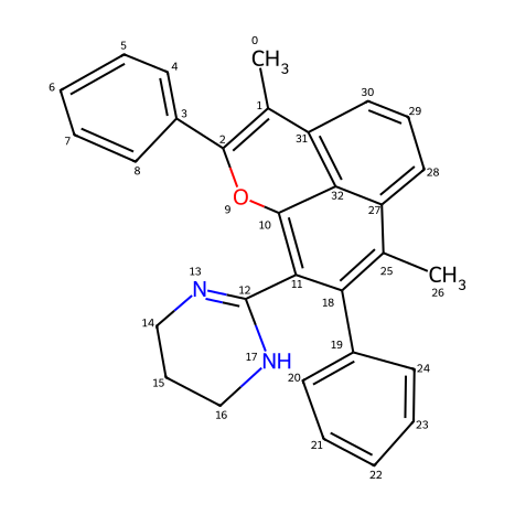 CC1=C(c2ccccc2)Oc2c(C3=NCCCN3)c(-c3ccccc3)c(C)c3cccc1c23